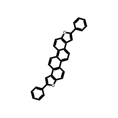 c1ccc(-c2cc3c(ccc4c3ccc3c5ccc6oc(-c7ccccc7)cc6c5ccc43)o2)cc1